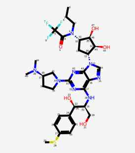 CCCN(C(=O)C(F)(F)F)[C@H]1C[C@@H](n2cnc3c(N[C@@H](CO)[C@H](O)c4ccc(SC)cc4)nc(N4CC[C@@H](N(C)C)C4)nc32)[C@H](O)[C@@H]1O